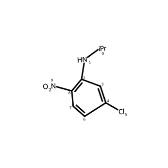 CC(C)Nc1cc(Cl)ccc1[N+](=O)[O-]